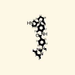 Cc1cc(C)nc(N(C)c2ccc(C(=O)Nc3ccc([N+]4(C5CCNC5)CCCC4C)cc3C)cc2)n1